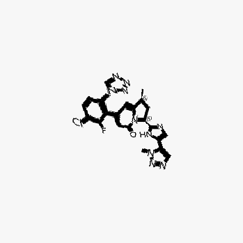 C[C@H]1C[C@@H](c2ncc(-c3cnnn3C)[nH]2)n2c1cc(-c1c(-n3cnnn3)ccc(Cl)c1F)cc2=O